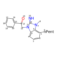 CCCCCc1cccc2c1n(C)c(=N)n2CC(=O)c1ccccc1